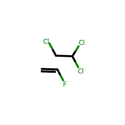 C=CF.ClCC(Cl)Cl